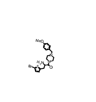 COc1ccc(CN2CCN(C(=O)C(N)Cc3ccc(Br)s3)CC2)cc1